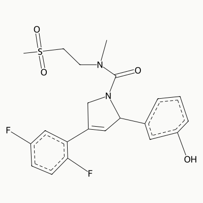 CN(CCS(C)(=O)=O)C(=O)N1CC(c2cc(F)ccc2F)=CC1c1cccc(O)c1